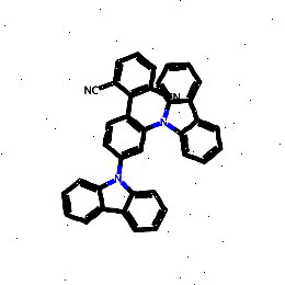 N#Cc1cccc(C#N)c1-c1ccc(-n2c3ccccc3c3ccccc32)cc1-n1c2ccccc2c2ccccc21